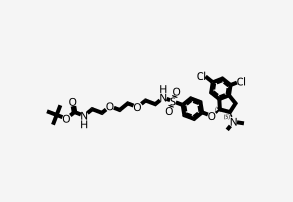 CN(C)[C@H]1Cc2c(Cl)cc(Cl)cc2[C@@H]1Oc1ccc(S(=O)(=O)NCCOCCOCCNC(=O)OC(C)(C)C)cc1